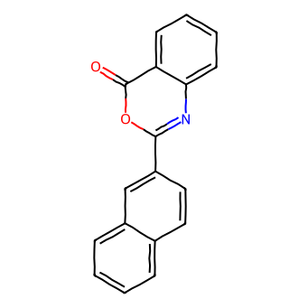 O=c1oc(-c2ccc3ccccc3c2)nc2ccccc12